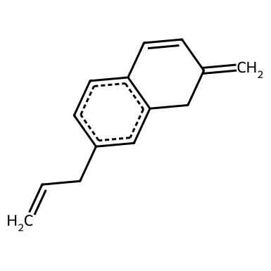 C=CCc1ccc2c(c1)CC(=C)C=C2